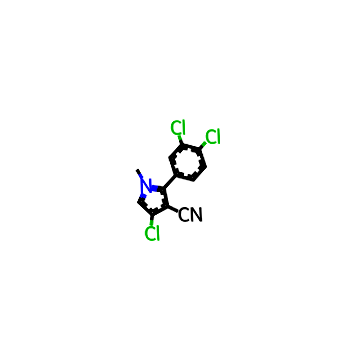 Cn1cc(Cl)c(C#N)c1-c1ccc(Cl)c(Cl)c1